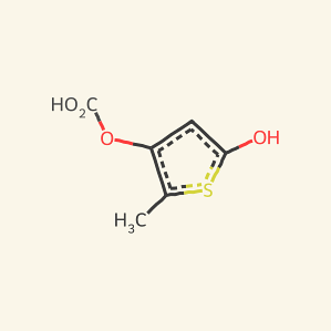 Cc1sc(O)cc1OC(=O)O